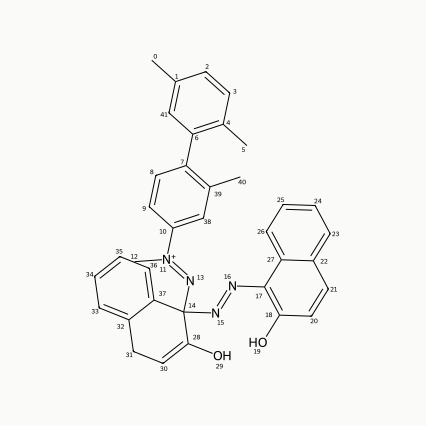 Cc1ccc(C)c(-c2ccc([N+](C)=NC3(N=Nc4c(O)ccc5ccccc45)C(O)=CCc4ccccc43)cc2C)c1